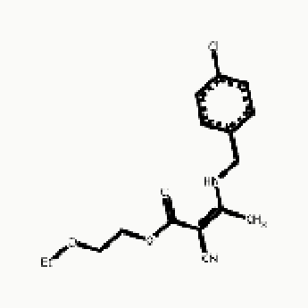 CCOCCOC(=O)/C(C#N)=C(/C)NCc1ccc(Cl)cc1